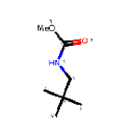 COC(=O)NCC(C)(C)C